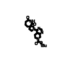 CC(C)(C)OC(=O)N1CCc2c(ncnc2N2CCC3(CCCC(=O)NC3=O)C2)C1